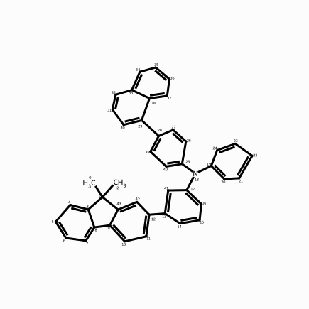 CC1(C)c2ccccc2-c2ccc(-c3cccc(N(c4ccccc4)c4ccc(-c5cccc6ccccc56)cc4)c3)cc21